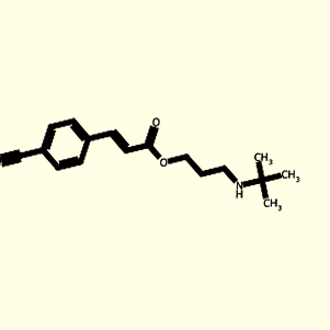 CC(C)(C)NCCCOC(=O)/C=C/c1ccc(C#N)cc1